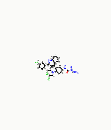 NNC(=O)Nc1ccc(N(CCCl)CCCl)c(-c2cc(-c3cccc(Cl)c3)nc3ccccc23)c1